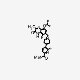 CNC(=O)c1ccc(C2=CCN(Cc3cc(OC(F)F)c4nc(C)c(=O)[nH]c4c3F)CC2)c(F)n1